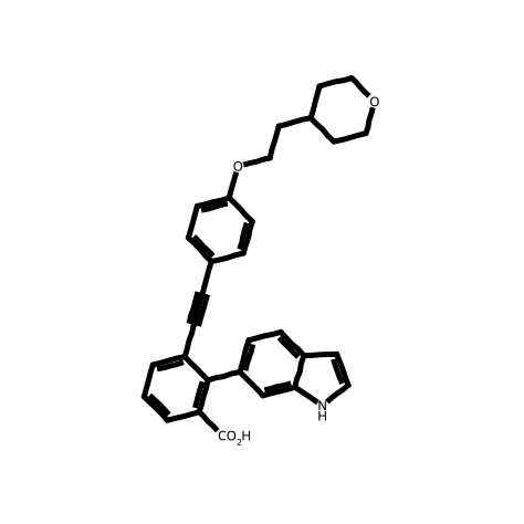 O=C(O)c1cccc(C#Cc2ccc(OCCC3CCOCC3)cc2)c1-c1ccc2cc[nH]c2c1